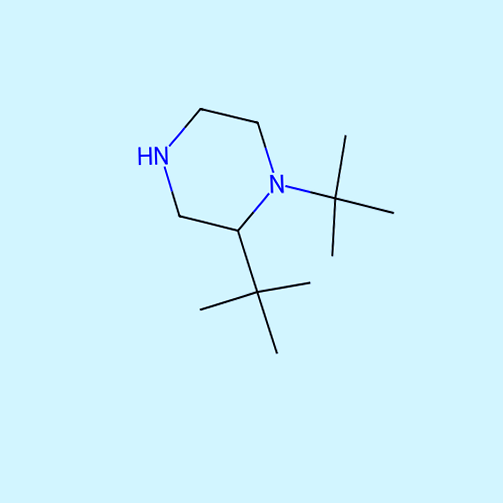 CC(C)(C)C1CNCCN1C(C)(C)C